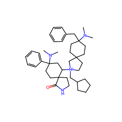 CN(C)C1(Cc2ccccc2)CCC2(CC1)CC[N+](CC1CCCC1)(C1CC(c3ccccc3)(N(C)C)CCC13CCNC3=O)C2